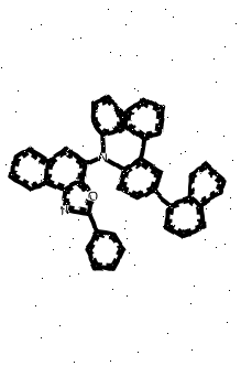 c1ccc(-c2nc3c(o2)c(N(c2ccccc2)c2ccc(-c4cccc5ccccc45)cc2-c2ccccc2)cc2ccccc23)cc1